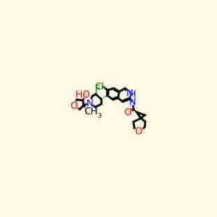 CC1(N2CC[C@@H](c3cc4cc(NC(=O)[C@H]5CC56CCOCC6)ncc4cc3Cl)[C@H](F)C2)COCC1O